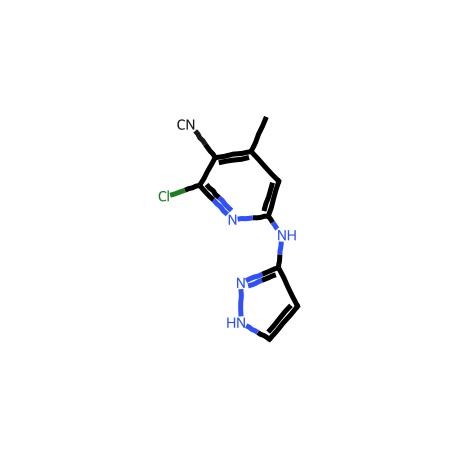 [C-]#[N+]c1c(C)cc(Nc2cc[nH]n2)nc1Cl